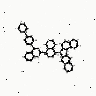 c1ccc(-c2ccc(-c3nc(-c4ccc(-n5c6cc7ccccc7cc6c6c7ccccc7ccc65)c5ccccc45)nc4ccccc34)cc2)cc1